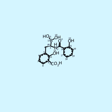 O=C(N[C@@H](Cc1cccc(C(=O)O)c1O)B(O)O)c1ccccc1O